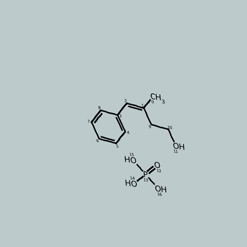 CC(=Cc1ccccc1)CCO.O=P(O)(O)O